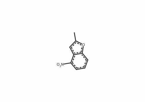 Cc1cc2c([N+](=O)[O-])cccc2o1